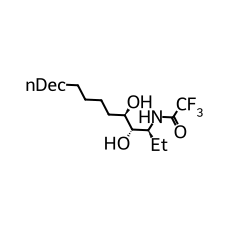 CCCCCCCCCCCCCC[C@@H](O)[C@@H](O)[C@H](CC)NC(=O)C(F)(F)F